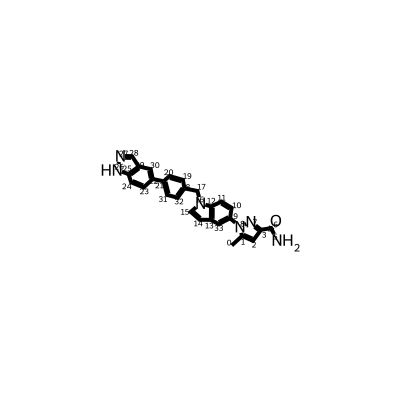 Cc1cc(C(N)=O)nn1-c1ccc2c(ccn2Cc2ccc(-c3ccc4[nH]ncc4c3)cc2)c1